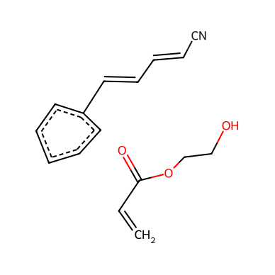 C=CC(=O)OCCO.N#CC=CC=Cc1ccccc1